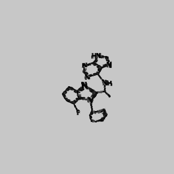 CC(Nc1ncnc2[nH]cnc12)c1nc2cccc(F)c2n1-c1ccccc1